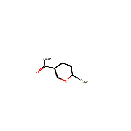 COC(=O)C1CCC(OC(C)=O)OC1